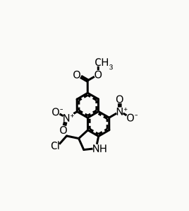 COC(=O)c1cc([N+](=O)[O-])c2c3c(cc([N+](=O)[O-])c2c1)NCC3CCl